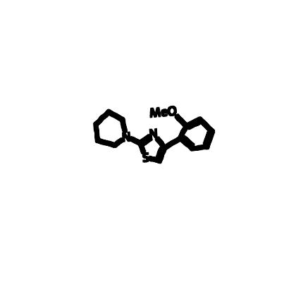 COc1ccccc1-c1csc(N2CCCCC2)n1